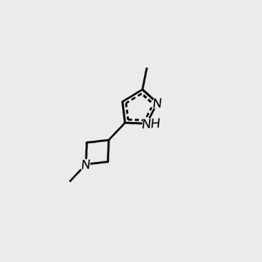 Cc1cc(C2CN(C)C2)[nH]n1